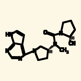 CN(C(=O)N1CCC[C@@H]1C#N)[C@@H]1CCN(c2ncnc3[nH]ccc23)C1